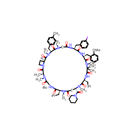 CC[C@H](C)[C@@H]1NC(=O)[C@H](CC(C)C)N(C)C(=O)C[C@@H](C(=O)N2CCCCC2)N(C)C(=O)[C@H](CC(C)C)NC(=O)C(C)(C)N(C)C(=O)[C@H](Cc2ccccc2OC)NC(=O)[C@H](Cc2cccc(I)c2)NC(=O)CN(C)C(=O)[C@H](Cc2ccc(C)cc2)N(C)C(=O)[C@@H]2CCN2C(=O)[C@H](C)N(C)C1=O